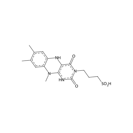 Cc1cc2c(cc1C)N(C)c1[nH]c(=O)n(CCCS(=O)(=O)O)c(=O)c1N2